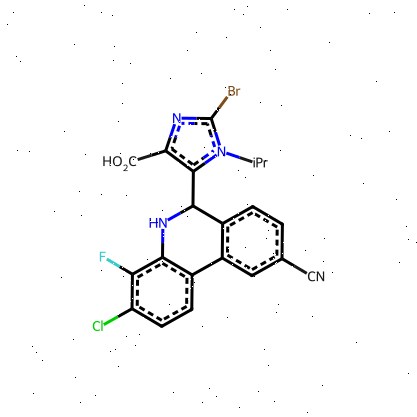 CC(C)n1c(Br)nc(C(=O)O)c1C1Nc2c(ccc(Cl)c2F)-c2cc(C#N)ccc21